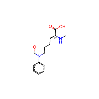 CN[C@@H](CCCCN(C=O)c1ccccc1)C(=O)O